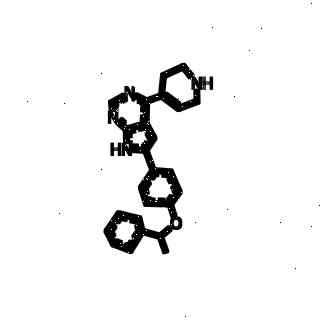 CC(Oc1ccc(-c2cc3c(C4=CCNCC4)ncnc3[nH]2)cc1)c1ccccc1